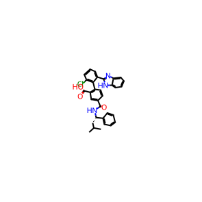 CC(C)C[C@H](NC(=O)c1ccc(-c2c(Cl)cccc2-c2nc3ccccc3[nH]2)c(C(=O)O)c1)c1ccccc1